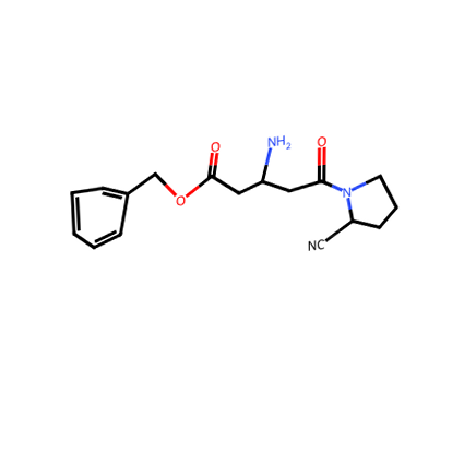 N#CC1CCCN1C(=O)CC(N)CC(=O)OCc1ccccc1